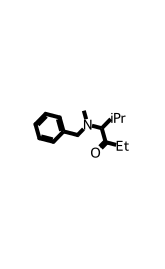 CCC(=O)C(C(C)C)N(C)Cc1ccccc1